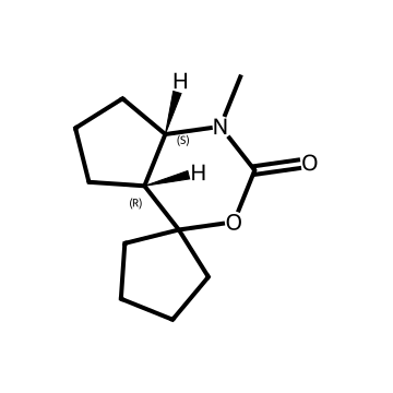 CN1C(=O)OC2(CCCC2)[C@@H]2CCC[C@@H]21